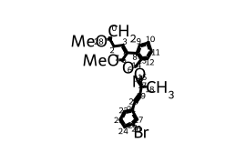 C=C(C/C=C(\C(=O)OC)c1ccccc1CO/N=C(\C)C#Cc1cccc(Br)c1)OC